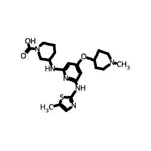 Cc1cnc(Nc2cc(OC3CCN(C)CC3)cc(NC3CCCN(C(=O)O)C3)n2)s1